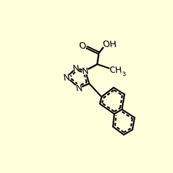 CC(C(=O)O)n1nnnc1-c1ccc2ccccc2c1